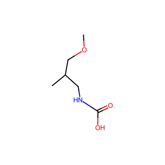 COCC(C)CNC(=O)O